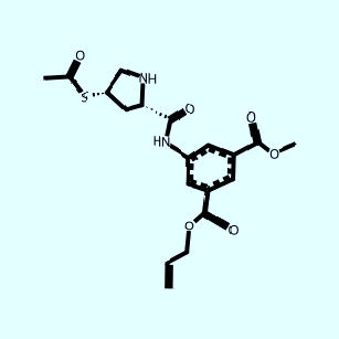 C=CCOC(=O)c1cc(NC(=O)[C@@H]2C[C@H](SC(C)=O)CN2)cc(C(=O)OC)c1